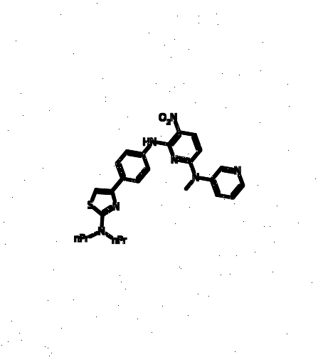 CCCN(CCC)c1nc(-c2ccc(Nc3nc(N(C)c4cccnc4)ccc3[N+](=O)[O-])cc2)cs1